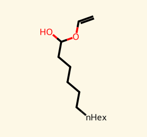 C=COC(O)CCCCCCCCCCC